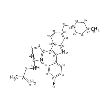 C=C(C)CNc1nccc(-c2c(-c3ccc(F)cc3)nc3cc(CN4CCN(C)CC4)ccn23)n1